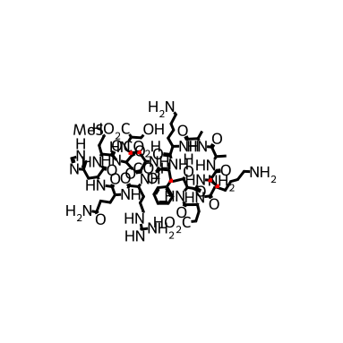 CSCCC(NC(=O)C(Cc1c[nH]cn1)NC(=O)C(CCC(N)=O)NC(=O)C(CCCNC(=N)N)NC(=O)C(CCC(=O)O)NC(=O)C(Cc1ccccc1)NC(=O)C(CCCCN)NC(=O)C(C)NC(=O)C(C)NC(=O)C(C)NC(=O)C(NC(=O)C(CCC(=O)O)NC(=O)C(N)CCCCN)C(C)O)C(=O)NC(CC(=O)O)C(=O)NC(CO)C(=O)O